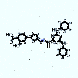 O=C(O)c1ccc(-c2ccc(/C=N/Nc3nc(Nc4ccccc4)nc(Nc4ccccc4)n3)o2)cc1O